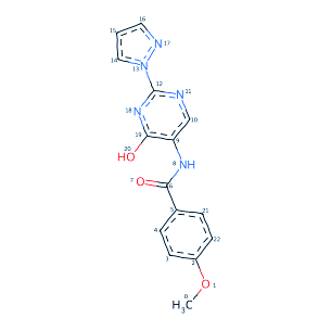 COc1ccc(C(=O)Nc2cnc(-n3cccn3)nc2O)cc1